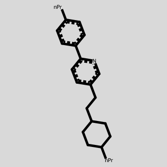 CCCc1ccc(-c2ccc(CCC3CCC(CCC)CC3)cn2)cc1